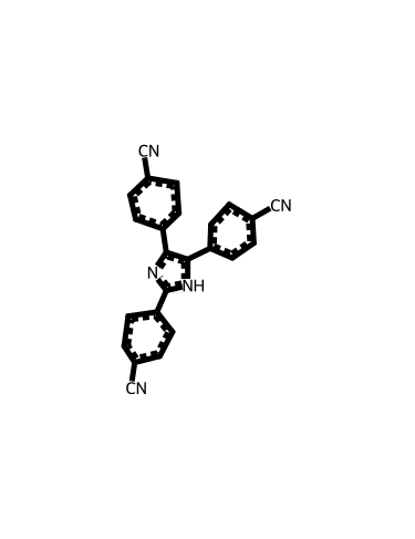 N#Cc1ccc(-c2nc(-c3ccc(C#N)cc3)c(-c3ccc(C#N)cc3)[nH]2)cc1